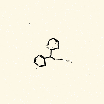 NCCC(c1ccccc1)c1ccccn1